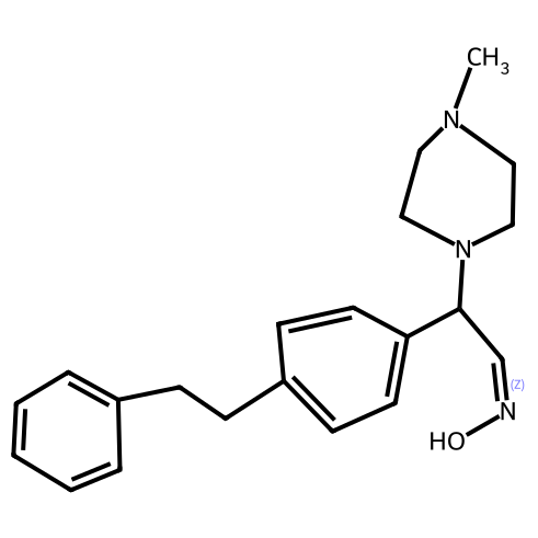 CN1CCN(C(/C=N\O)c2ccc(CCc3ccccc3)cc2)CC1